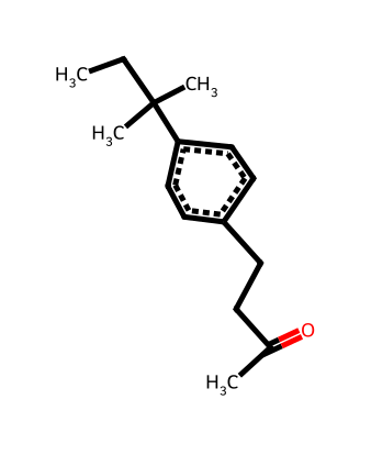 CCC(C)(C)c1ccc(CCC(C)=O)cc1